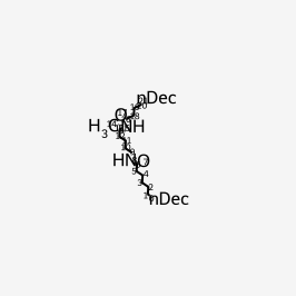 CCCCCCCCCCCCCCCC(=O)NCCCC[C@@H](C)NC(=O)CCCCCCCCCCCCC